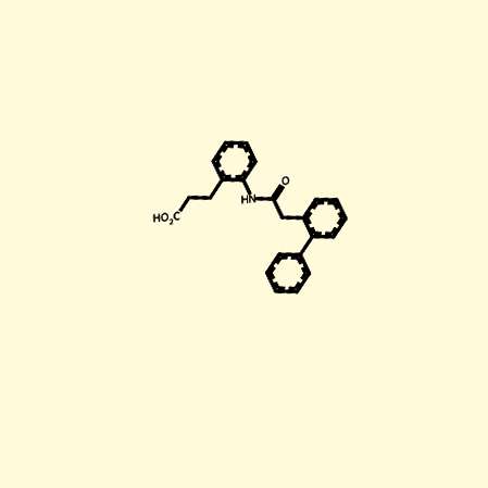 O=C(O)CCc1ccccc1NC(=O)Cc1ccccc1-c1ccccc1